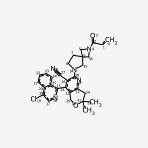 C=CC(=O)N1CC2(CCN(c3nc4c(c(-c5ncc(Cl)c6ccccc56)c3C#N)COC(C)(C)C4)C2)C1